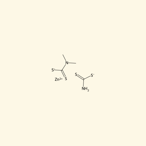 CN(C)C(=S)[S-].NC(=S)[S-].[Zn+2]